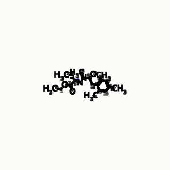 CCOC(=O)/C(=N/N(C)C(=O)Cc1c(C)cc(C)cc1C)SC